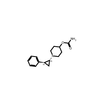 NC(=O)OC1CCN([C@@H]2C[C@H]2c2ccccc2)CC1